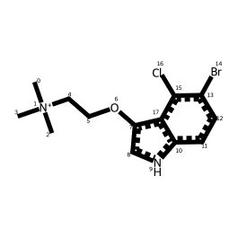 C[N+](C)(C)CCOc1c[nH]c2ccc(Br)c(Cl)c12